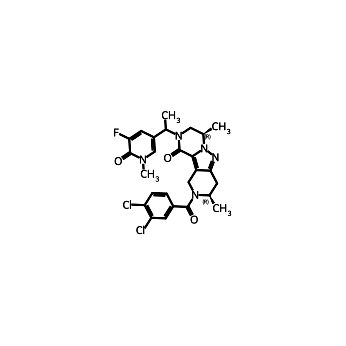 CC(c1cc(F)c(=O)n(C)c1)N1C[C@@H](C)n2nc3c(c2C1=O)CN(C(=O)c1ccc(Cl)c(Cl)c1)[C@H](C)C3